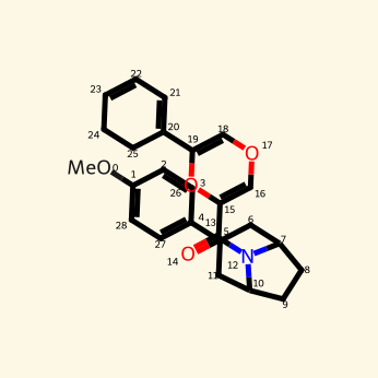 COc1ccc(C2CC3CCC(C2)N3C(=O)C2=COC=C(C3=CC=CCC3)O2)cc1